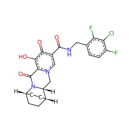 O=C(NCc1ccc(F)c(Cl)c1F)c1cn2c(c(O)c1=O)C(=O)N1[C@H]3CC[C@H](CC3)[C@H]1C2